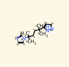 CC(C)(CCC(C)(C)n1ccnc1)c1ccn[nH]1